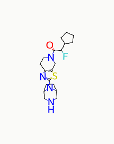 O=C(C(F)C1CCCC1)N1CCc2nc(N3C4CCC3CNC4)sc2C1